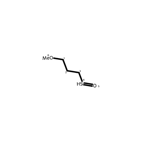 COCCC[SiH]=O